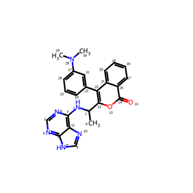 CC(Nc1ncnc2[nH]cnc12)c1oc(=O)c2ccccc2c1-c1cccc(N(C)C)c1